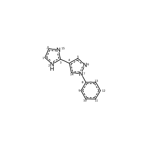 [c]1c[nH]c(-c2cnn(-c3ccccc3)c2)n1